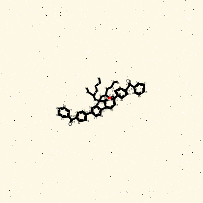 CCCCC(CC)CC1(CC(CC)CCCC)c2cc(-c3ccc(C(=O)c4ccccc4)cc3)ccc2-c2ccc(-c3ccc(C(=O)c4ccccc4)cc3)cc21